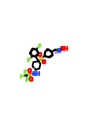 O=S(=O)(NC1CCC(c2cc(F)ccc2F)(S(=O)(=O)c2ccc(/C=N/O)cc2)CC1)C(F)(F)F